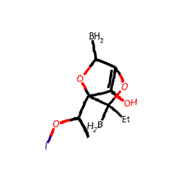 BC1OC2(C(C)OI)C(O)=C1OC2(B)CC